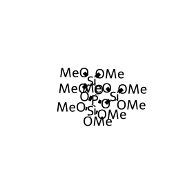 CO[Si](OC)(OC)OP(=O)(O[Si](OC)(OC)OC)[Si](OC)(OC)OC